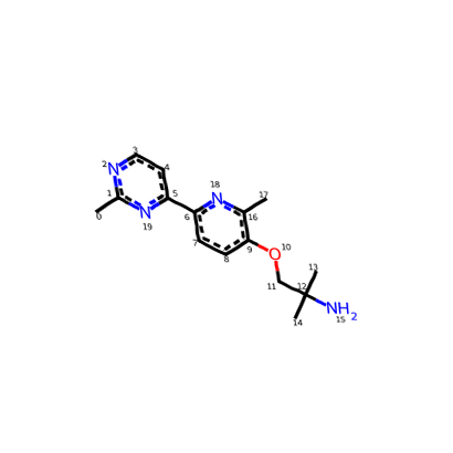 Cc1nccc(-c2ccc(OCC(C)(C)N)c(C)n2)n1